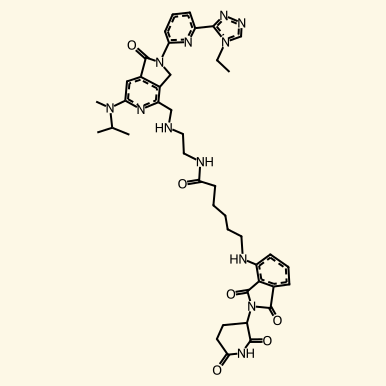 CCn1cnnc1-c1cccc(N2Cc3c(cc(N(C)C(C)C)nc3CNCCNC(=O)CCCCCNc3cccc4c3C(=O)N(C3CCC(=O)NC3=O)C4=O)C2=O)n1